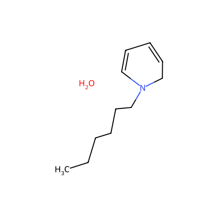 CCCCCCN1C=CC=CC1.O